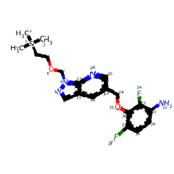 C[Si](C)(C)CCOCn1ncc2cc(COc3c(F)ccc(N)c3F)cnc21